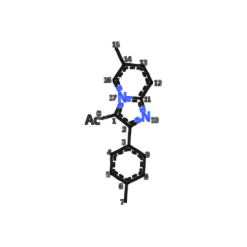 CC(=O)c1c(-c2ccc(C)cc2)nc2ccc(C)cn12